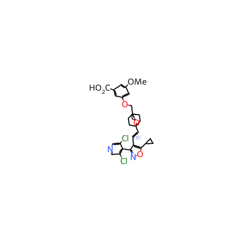 COc1cc(OCC23CCC(/C=C/c4c(-c5c(Cl)cncc5Cl)noc4C4CC4)(CC2)OC3)cc(C(=O)O)c1